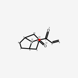 C=CC(=O)N1CC2CCC(C1)N2C=O